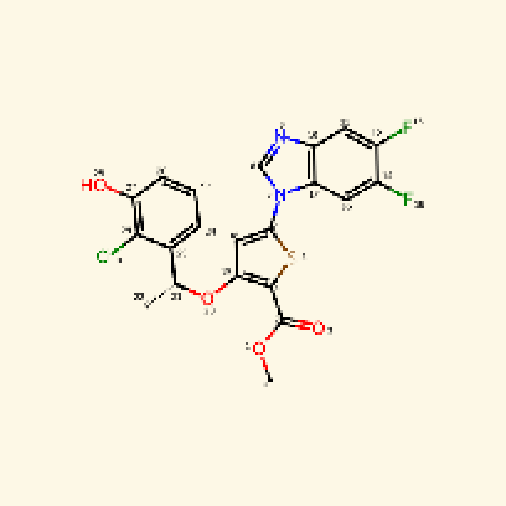 COC(=O)c1sc(-n2cnc3cc(F)c(F)cc32)cc1O[C@H](C)c1cccc(O)c1Cl